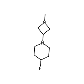 CN1CC(N2CCC(F)CC2)C1